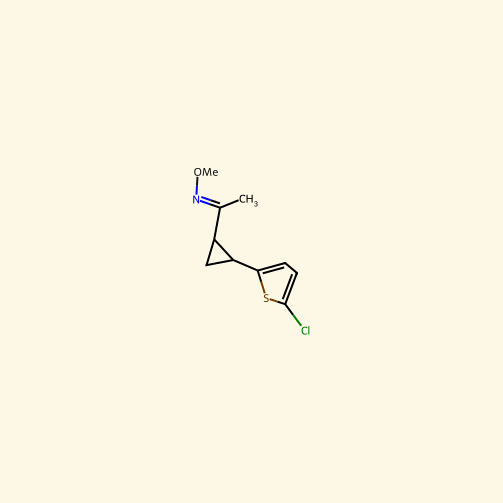 CON=C(C)C1CC1c1ccc(Cl)s1